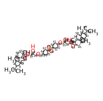 CC(C)c1ccc2c(c1)CCC1C(C)(C(=O)OCC(O)COCc3ccc(S(=O)(=O)c4ccc(OCC(O)COC(=O)C5(C)CCCC6(C)c7ccc(C(C)C)cc7CCC56)cc4)cc3)CCCC21C